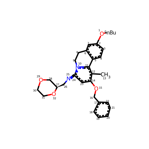 CCCCOc1ccc2c(c1)CCn1c-2c(C)c(OCc2ccccc2)c/c1=N\C[C@@H]1COCCO1